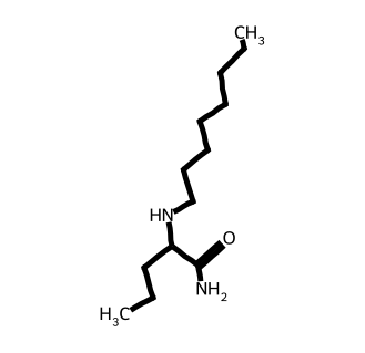 CCCCCCCCNC(CCC)C(N)=O